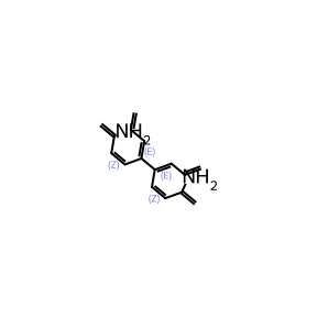 C=C/C=C(\C=C/C(=C)N)C(/C=C\C(=C)N)=C/C=C